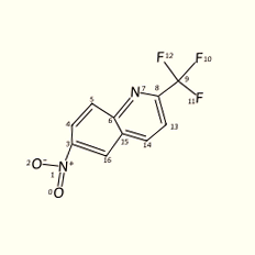 O=[N+]([O-])c1ccc2nc(C(F)(F)F)ccc2c1